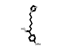 CSc1ccc(C(CCCCCCn2ccnc2)=NO)cc1